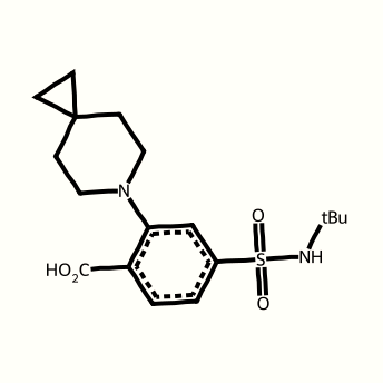 CC(C)(C)NS(=O)(=O)c1ccc(C(=O)O)c(N2CCC3(CC2)CC3)c1